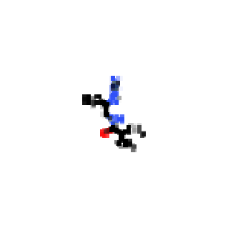 C=C(C)C(=O)NCC(C)N=[N+]=[N-]